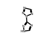 [c]1nnn(-c2nc[nH]n2)n1